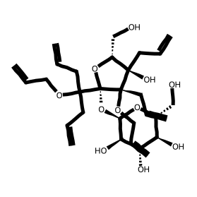 C=CCOC(CC=C)(CC=C)[C@@]1(O[C@H]2O[C@H](CO)[C@@H](O)[C@H](O)[C@H]2O)O[C@H](CO)[C@](O)(CC=C)[C@]1(CC=C)OCC=C